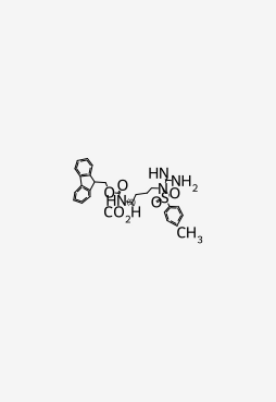 Cc1ccc(S(=O)(=O)N(CCC[C@H](NC(=O)OCC2c3ccccc3-c3ccccc32)C(=O)O)C(=N)N)cc1